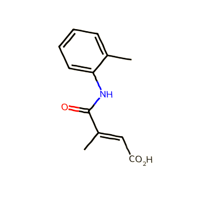 CC(=CC(=O)O)C(=O)Nc1ccccc1C